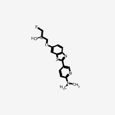 CN(C)c1ccc(-c2nc3ccc(OC[C@@H](O)CF)cc3s2)cn1